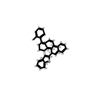 Cc1ccccc1C1=c2ccc3c(c2CCC1)C(c1cc2ccccc2s1)C=c1ccccc1=3